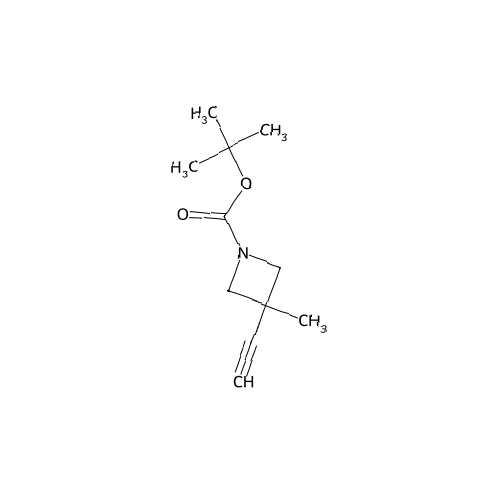 C#CC1(C)CN(C(=O)OC(C)(C)C)C1